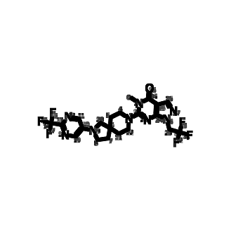 Cn1c(N2CCC3(CCN(c4cnc(C(F)(F)F)nc4)C3)CC2)nc2c(cnn2CC(F)(F)F)c1=O